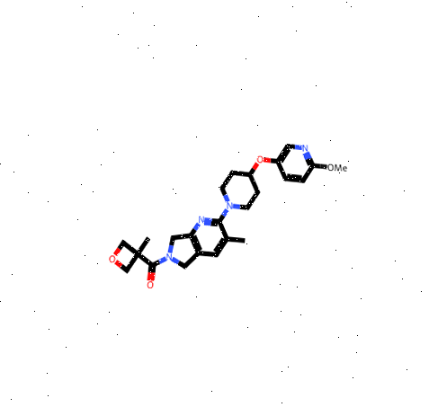 COc1ccc(OC2CCN(c3nc4c(cc3C)CN(C(=O)C3(C)COC3)C4)CC2)cn1